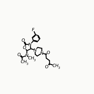 CC(=O)CCC(=O)N1CCN(C2C(N(C)C(C)=O)OC(=O)N2c2cccc(F)c2)CC1